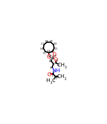 C=C(C)C(=O)NCCC[Si]1(OCC)OC2CCCCCCCC2O1